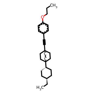 CCCOc1ccc(C#CC23CCC([C@H]4CC[C@H](CC)CC4)(CC2)CC3)cc1